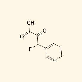 O=C(O)C(=O)C(F)c1ccccc1